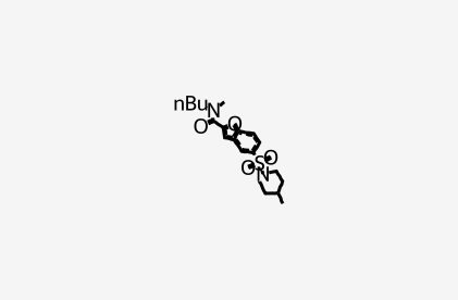 CCCCN(C)C(=O)c1cc2cc(S(=O)(=O)N3CCC(C)CC3)ccc2o1